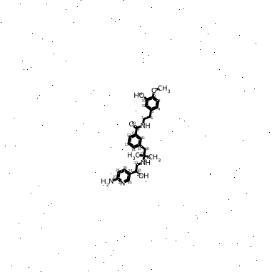 COc1ccc(CCNC(=O)c2cccc(CC(C)(C)NC[C@@H](O)c3ccc(N)nc3)c2)cc1O